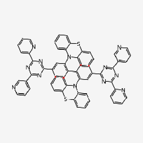 c1ccc(-c2nc(-c3cccnc3)nc(-c3ccc(-c4ccc(-c5nc(-c6cccnc6)nc(-c6ccccn6)n5)cc4N4c5ccccc5Sc5ccccc54)c(N4c5ccccc5Sc5ccccc54)c3)n2)nc1